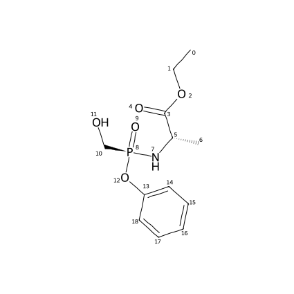 CCOC(=O)[C@H](C)N[P@](=O)(CO)Oc1ccccc1